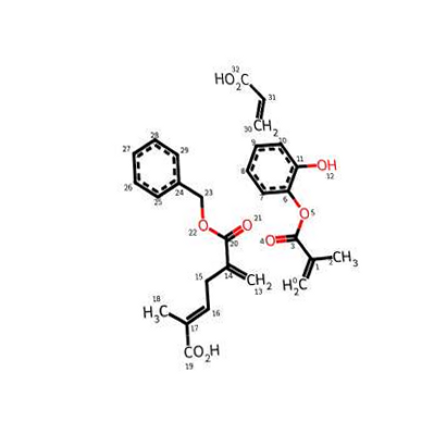 C=C(C)C(=O)Oc1ccccc1O.C=C(CC=C(C)C(=O)O)C(=O)OCc1ccccc1.C=CC(=O)O